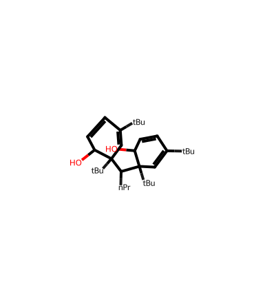 CCCC(C1(C(C)(C)C)C=C(C(C)(C)C)C=CC1O)C1(C(C)(C)C)C=C(C(C)(C)C)C=CC1O